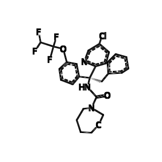 O=C(N[C@@](Cc1ccccc1)(c1cccc(OC(F)(F)C(F)F)c1)c1ccc(Cl)cn1)N1CCCCCC1